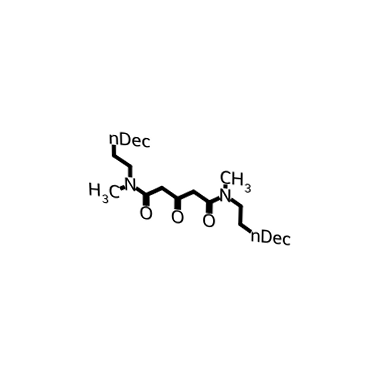 CCCCCCCCCCCCN(C)C(=O)CC(=O)CC(=O)N(C)CCCCCCCCCCCC